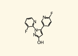 Oc1cc(-c2ccc(F)nc2)n(-c2ncccc2F)n1